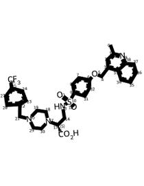 Cc1cc(COc2ccc(S(=O)(=O)NC[C@@H](C(=O)O)N3CCN(Cc4ccc(C(F)(F)F)cc4)CC3)cc2)c2ccccc2n1